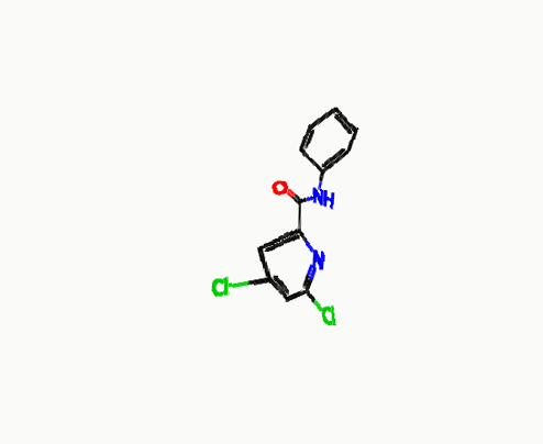 O=C(Nc1ccccc1)c1cc(Cl)cc(Cl)n1